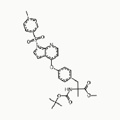 COC(=O)C(C)(Cc1ccc(Oc2ccnc3c2ccn3S(=O)(=O)c2ccc(C)cc2)cc1)NC(=O)OC(C)(C)C